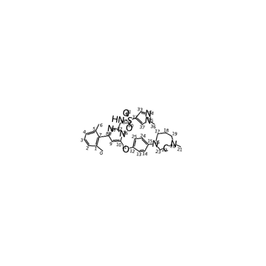 Cc1cccc(C)c1-c1cc(Oc2ccc(N3CCCN(C)CC3)cc2)nc(NS(=O)(=O)c2cnn(C)c2)n1